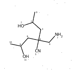 CC(O)CC(C#N)(CN)CC(C)O